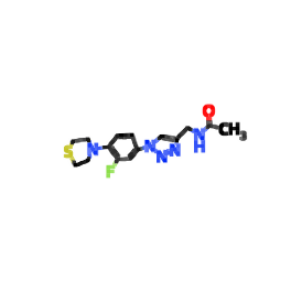 CC(=O)NCc1cn(-c2ccc(N3CCSCC3)c(F)c2)nn1